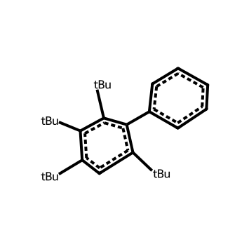 CC(C)(C)c1cc(C(C)(C)C)c(C(C)(C)C)c(C(C)(C)C)c1-c1ccccc1